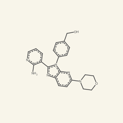 Nc1ncccc1-c1nc2ccc(N3CCOCC3)nc2n1-c1ccc(CO)cc1